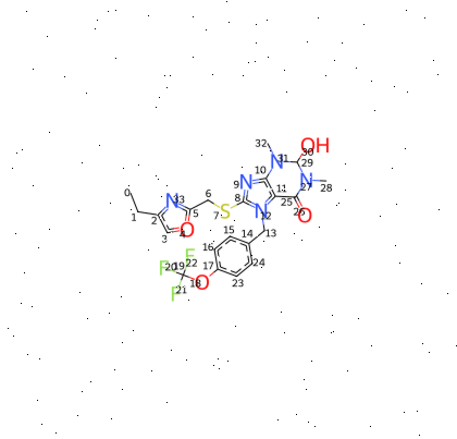 CCc1coc(CSc2nc3c(n2Cc2ccc(OC(F)(F)F)cc2)C(=O)N(C)C(O)N3C)n1